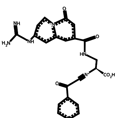 N=C(N)Nc1ccn2c(=O)cc(C(=O)NC[C@H]([N+]#CC(=O)c3ccccc3)C(=O)O)cc2c1